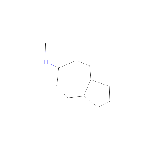 CNC1CCC2CCCC2CC1